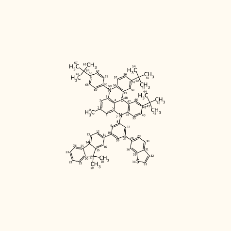 Cc1cc2c3c(c1)N(c1cc(-c4ccc5c(c4)C(C)(C)c4ccccc4-5)cc(-c4ccc5ccsc5c4)c1)c1ccc(C(C)(C)C)cc1B3c1cc(C(C)(C)C)ccc1N2c1ccc(C(C)(C)C)cc1